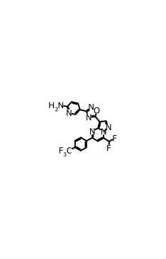 Nc1ccc(-c2noc(-c3cnn4c(C(F)F)cc(-c5ccc(C(F)(F)F)cc5)nc34)n2)cn1